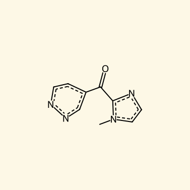 Cn1ccnc1C(=O)c1ccnnc1